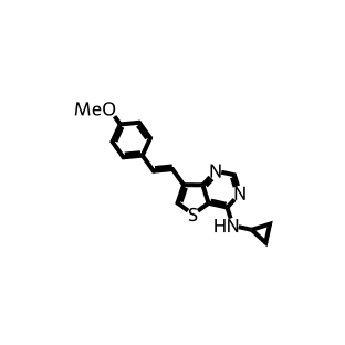 COc1ccc(C=Cc2csc3c(NC4CC4)ncnc23)cc1